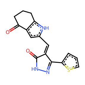 O=C1NN=C(c2cccs2)C1=Cc1cc2c([nH]1)CCCC2=O